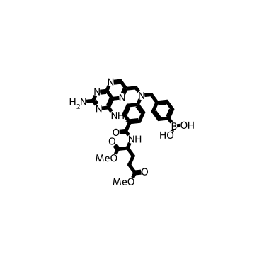 COC(=O)CCC(NC(=O)c1ccc(N(Cc2ccc(B(O)O)cc2)Cc2cnc3nc(N)nc(N)c3n2)cc1)C(=O)OC